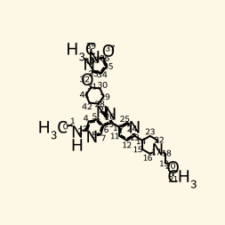 CCNc1cc2c(cn1)c(-c1ccc(C3CCN(CCOC)CC3)nc1)nn2[C@H]1CC[C@@H](Oc2ccc(=O)n(C)n2)CC1